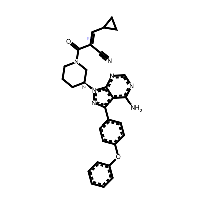 N#C/C(=C\C1CC1)C(=O)N1CCC[C@H](n2nc(-c3ccc(Oc4ccccc4)cc3)c3c(N)ncnc32)C1